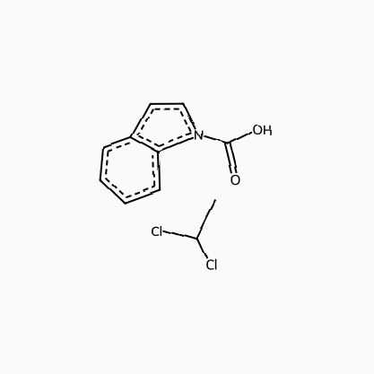 CC(Cl)Cl.O=C(O)n1ccc2ccccc21